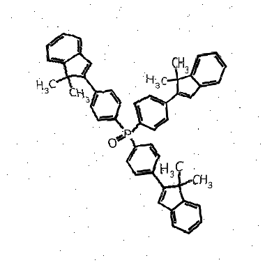 CC1(C)C(c2ccc(P(=O)(c3ccc(C4=Cc5ccccc5C4(C)C)cc3)c3ccc(C4=Cc5ccccc5C4(C)C)cc3)cc2)=Cc2ccccc21